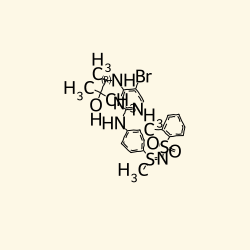 Cc1ccccc1S(=O)(=O)N=S(C)c1ccc(Nc2ncc(Br)c(N[C@H](C)C(C)(C)O)n2)cc1